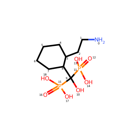 NCCC1CCCCC1C(O)(P(=O)(O)O)P(=O)(O)O